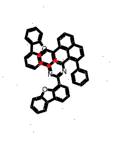 c1ccc(-c2ccc3cccc(-c4ccccc4)c3c2-c2nc(-c3cccc4c3oc3ccccc34)nc(-c3cccc4c3oc3ccccc34)n2)cc1